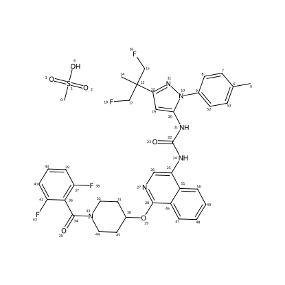 CS(=O)(=O)O.Cc1ccc(-n2nc(C(C)(CF)CF)cc2NC(=O)Nc2cnc(OC3CCN(C(=O)c4c(F)cccc4F)CC3)c3ccccc23)cc1